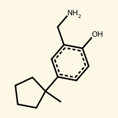 CC1(c2ccc(O)c(CN)c2)CCCC1